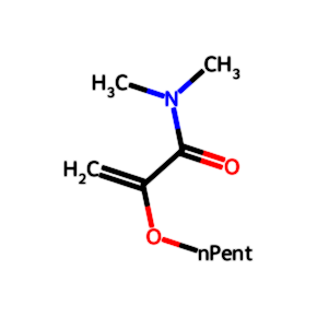 C=C(OCCCCC)C(=O)N(C)C